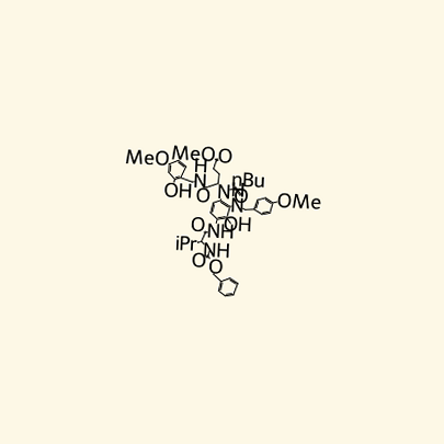 CCCCC(=O)N(c1ccc(NC(=O)[C@@H](NC(=O)OCc2ccccc2)C(C)C)c(O)c1NCc1ccc(OC)cc1)C(CCC(=O)OC)C(=O)NCc1ccc(OC)cc1O